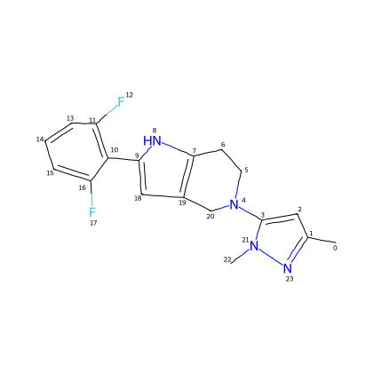 Cc1cc(N2CCc3[nH]c(-c4c(F)cccc4F)cc3C2)n(C)n1